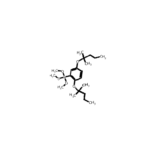 CCCC(C)(C)Oc1ccc(OC(C)(C)CCC)c([Si](OC)(OC)OC)c1